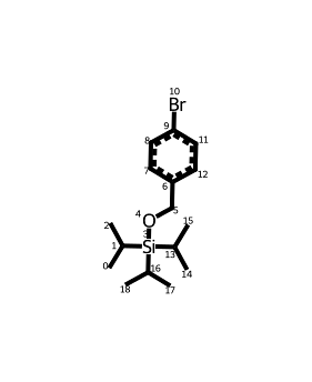 CC(C)[Si](OCc1ccc(Br)cc1)(C(C)C)C(C)C